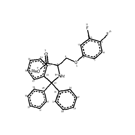 COC(=O)C(COc1ccc(F)c(F)c1)NC(c1ccccc1)(c1ccccc1)c1ccccc1